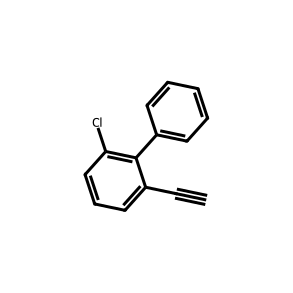 C#Cc1cccc(Cl)c1-c1ccccc1